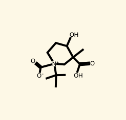 CC1(C(=O)O)C[N+](C(=O)[O-])(C(C)(C)C)CCC1O